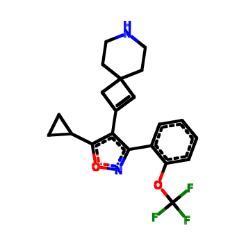 FC(F)(F)Oc1ccccc1-c1noc(C2CC2)c1C1=CC2(CCNCC2)C1